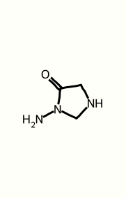 NN1CNCC1=O